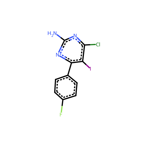 Nc1nc(Cl)c(I)c(-c2ccc(F)cc2)n1